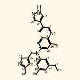 C=C(/C=N\c1ccc(N(CC2=CC(C)=NC2)c2cc(C)cc(CC)c2)cc1C)c1cn[nH]c1